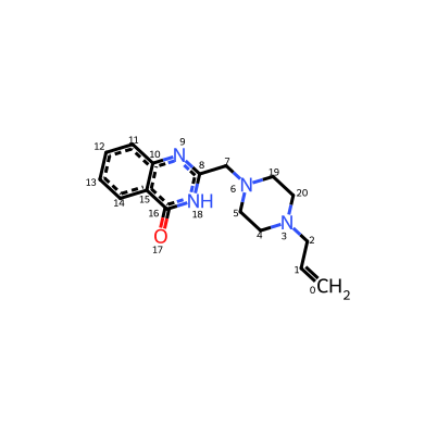 C=CCN1CCN(Cc2nc3ccccc3c(=O)[nH]2)CC1